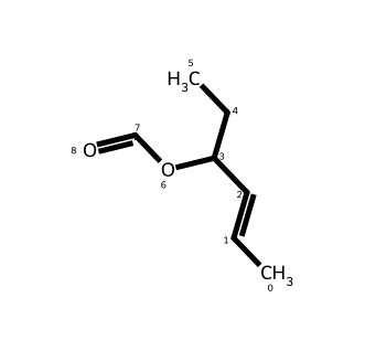 CC=CC(CC)O[C]=O